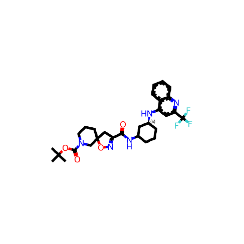 CC(C)(C)OC(=O)N1CCCC2(CC(C(=O)NC3CCC[C@H](Nc4cc(C(F)(F)F)nc5ccccc45)C3)=NO2)C1